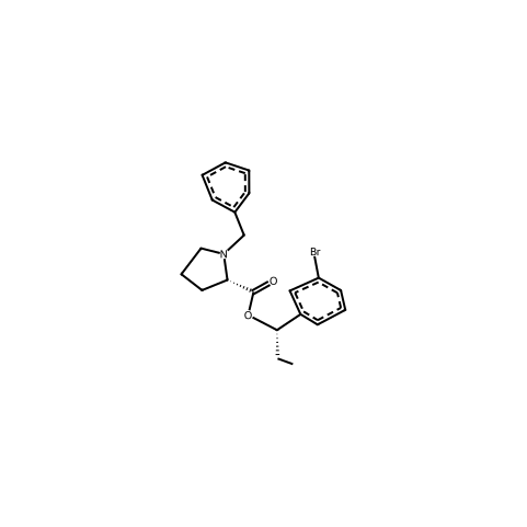 CC[C@H](OC(=O)[C@@H]1CCCN1Cc1ccccc1)c1cccc(Br)c1